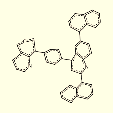 c1ccc2c(-c3ccc4nc(-c5cccc6ccccc56)cc(-c5ccc(-c6cccc7cccnc67)cc5)c4c3)cccc2c1